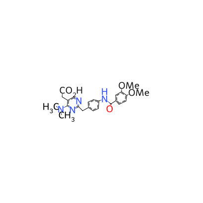 COc1ccc(C(=O)Nc2ccc(Cc3ncc(CC(=O)O)c(N(C)C)n3)cc2)cc1OC